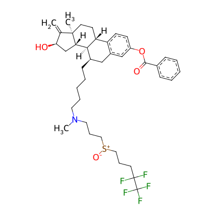 C=C1[C@H](O)C[C@H]2[C@@H]3[C@H](CCCCCN(C)CCC[S+]([O-])CCCC(F)(F)C(F)(F)F)Cc4cc(OC(=O)c5ccccc5)ccc4[C@H]3CC[C@]12C